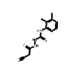 Cc1cccc(NC(=S)NNC(=O)CC#N)c1C